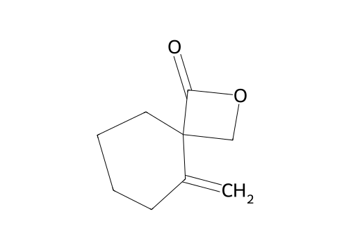 C=C1CCCCC12COC2=O